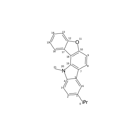 CC(C)c1ccc2c(c1)c1ccc3oc4ccccc4c3c1n2C